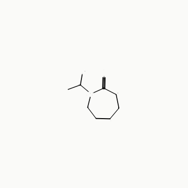 CC(O)N1CCCCCC1=O